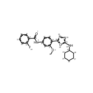 COc1cc(NC(=O)c2ccccc2F)ccc1-c1nnc(NC2CCCCC2)o1